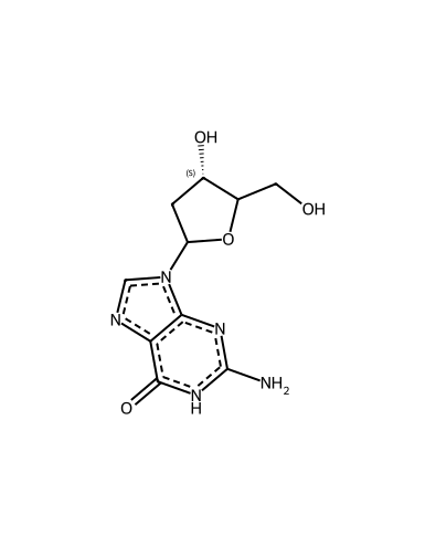 Nc1nc2c(ncn2C2C[C@H](O)C(CO)O2)c(=O)[nH]1